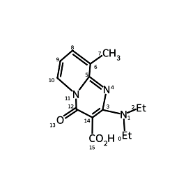 CCN(CC)c1nc2c(C)cccn2c(=O)c1C(=O)O